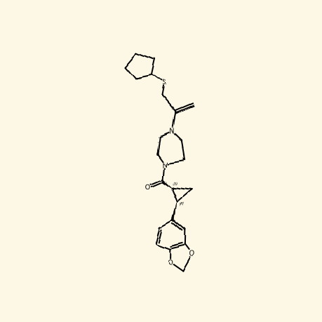 C=C(CSC1CCCC1)N1CCN(C(=O)[C@H]2C[C@H]2c2ccc3c(c2)OCO3)CC1